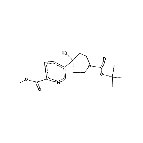 COC(=O)c1ccc(C2(O)CCN(C(=O)OC(C)(C)C)CC2)cn1